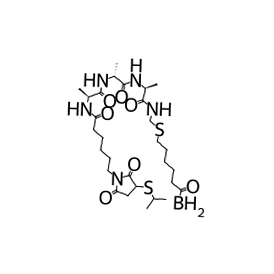 BC(=O)CCCCCSCNC(=O)[C@H](C)NC(=O)[C@@H](C)NC(=O)[C@H](C)NC(=O)CCCCCN1C(=O)CC(SC(C)C)C1=O